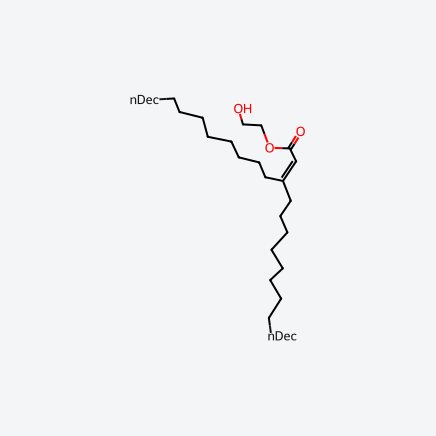 CCCCCCCCCCCCCCCCCCC(=CC(=O)OCCO)CCCCCCCCCCCCCCCCCC